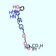 CC(C)C(C(=O)O)c1cc(OCCCOCCCN2CCC(Cn3cc(/C(=C/C(=N)c4ccccc4O)C(=N)N)cn3)CC2)no1